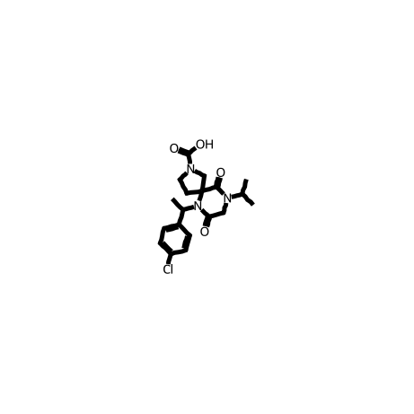 CC(C)N1CC(=O)N(C(C)c2ccc(Cl)cc2)C2(CCN(C(=O)O)C2)C1=O